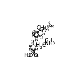 CNC.Cc1c(C=CC2CC2)ccc2c(CCC3CCN(C(=O)O)CC3)noc12